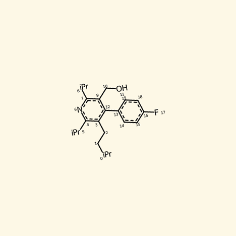 CC(C)CCc1c(C(C)C)nc(C(C)C)c(CO)c1-c1ccc(F)cc1